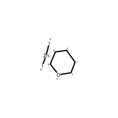 [CH]1CCOCC1.[I][Zn][I]